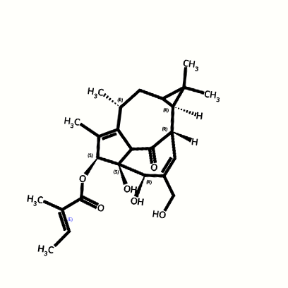 C/C=C(\C)C(=O)O[C@H]1C(C)=C2C3C(=O)[C@@H](C=C(CO)[C@@H](O)[C@@]31O)[C@H]1C(C[C@H]2C)C1(C)C